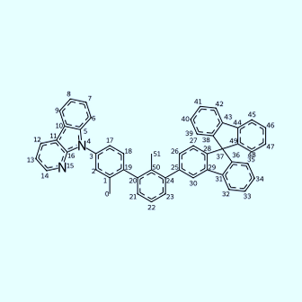 Cc1cc(-n2c3ccccc3c3cccnc32)ccc1-c1cccc(-c2ccc3c(c2)-c2ccccc2C32c3ccccc3-c3ccccc32)c1C